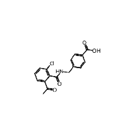 CC(=O)c1cccc(Cl)c1C(=O)NCc1ccc(C(=O)O)cc1